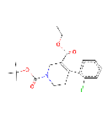 CCOC(=O)C1=C(c2ccccc2Cl)CCN(C(=O)OC(C)(C)C)C1